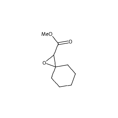 COC(=O)C1OC12CCCCC2